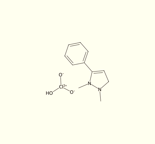 CN1CC=C(c2ccccc2)N1C.[O-][Cl+2]([O-])O